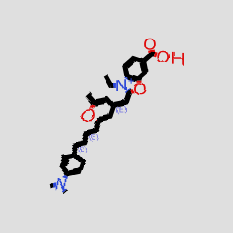 CC[n+]1c(/C=C2\C=C(C)OC(/C=C/C=C/c3ccc(N(C)C)cc3)=C2)oc2cc(C(=O)O)ccc21